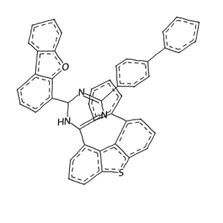 c1ccc(-c2ccc(C3=NC(c4cccc5c4oc4ccccc45)NC(c4cccc5sc6cccc(-c7ccccc7)c6c45)=N3)cc2)cc1